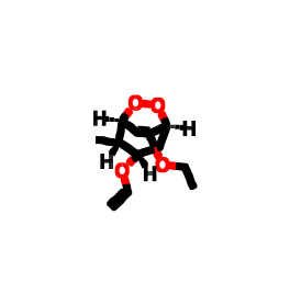 C=CO[C@H]1C[C@@H]2OO[C@@H](C=C2OCC)[C@H]1C